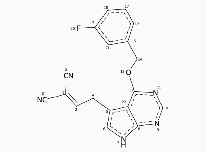 N#CC(C#N)=CCc1c[nH]c2ncnc(OCc3cccc(F)c3)c12